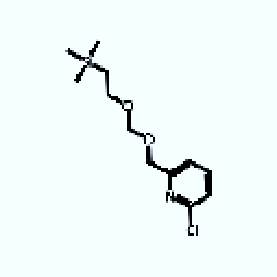 C[Si](C)(C)CCOCOCc1cccc(Cl)n1